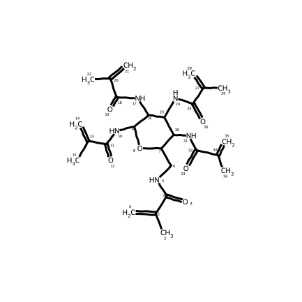 C=C(C)C(=O)NCC1OC(NC(=O)C(=C)C)C(NC(=O)C(=C)C)C(NC(=O)C(=C)C)C1NC(=O)C(=C)C